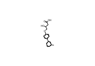 Cc1cccc(-c2ccc(OCC(O)CC(=O)O)cc2)c1